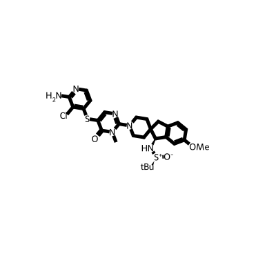 COc1ccc2c(c1)[C@@H](N[S@+]([O-])C(C)(C)C)C1(CCN(c3ncc(Sc4ccnc(N)c4Cl)c(=O)n3C)CC1)C2